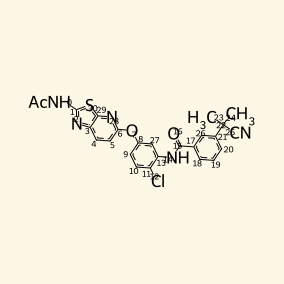 CC(=O)Nc1nc2ccc(Oc3ccc(Cl)c(NC(=O)c4cccc(C(C)(C)C#N)c4)c3)nc2s1